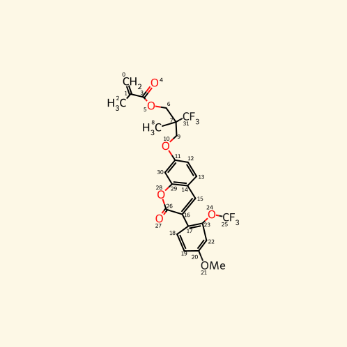 C=C(C)C(=O)OCC(C)(COc1ccc2cc(-c3ccc(OC)cc3OC(F)(F)F)c(=O)oc2c1)C(F)(F)F